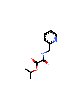 CC(C)OC(=O)C(=O)NCc1ccccn1